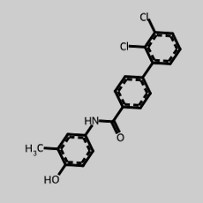 Cc1cc(NC(=O)c2ccc(-c3cccc(Cl)c3Cl)cc2)ccc1O